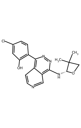 CC1(C)CO[C@@H]1Nc1nnc(-c2ccc(Cl)cc2O)c2ccncc12